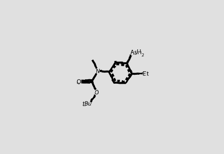 CCc1ccc(N(C)C(=O)OC(C)(C)C)cc1[AsH2]